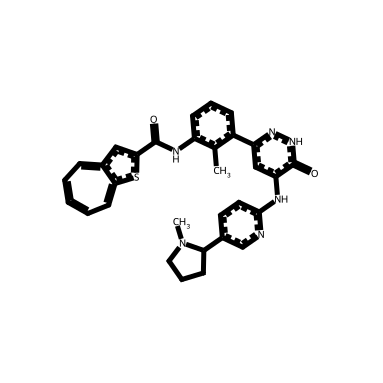 Cc1c(NC(=O)c2cc3c(s2)=CC=C=CC=3)cccc1-c1cc(Nc2ccc(C3CCCN3C)cn2)c(=O)[nH]n1